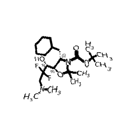 CN(C)CC(F)(F)[C@H](O)[C@@H]1OC(C)(C)N(C(=O)OC(C)(C)C)[C@H]1CC1CCCCC1